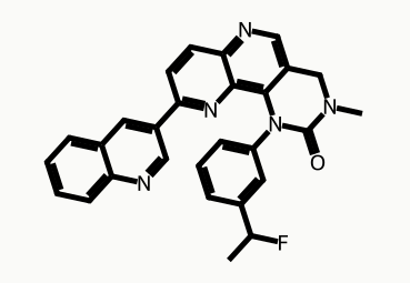 CC(F)c1cccc(N2C(=O)N(C)Cc3cnc4ccc(-c5cnc6ccccc6c5)nc4c32)c1